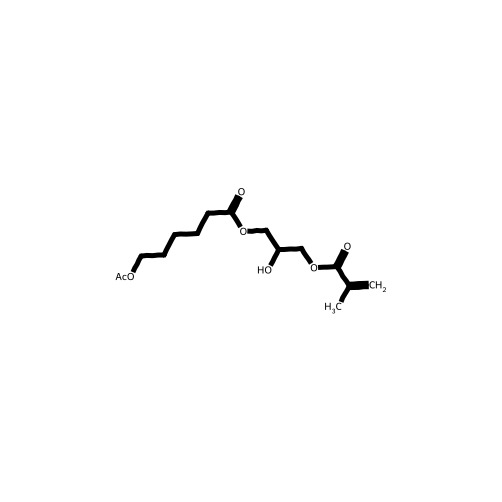 C=C(C)C(=O)OCC(O)COC(=O)CCCCCOC(C)=O